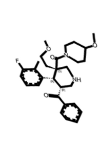 COCC[C@@]1(C(=O)N2CCC(OC)CC2)CNC[C@H](C(=O)c2ccccc2)[C@@H]1c1cccc(F)c1C